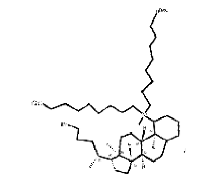 CCCCCCCCCCCCCCCCCC[N+](C)(CCCCCCCCCCCCCCCCCC)C1CCCC2CC[C@@H]3[C@H](CC[C@]4(C)[C@@H]([C@H](C)CCCC(C)C)CC[C@@H]34)[C@]21C.[I-]